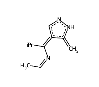 C=c1[nH]nc/c1=C(/N=C\C)C(C)C